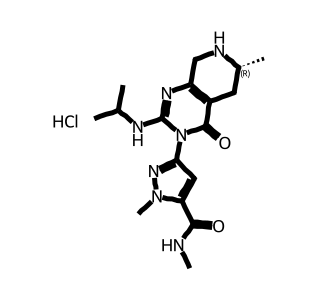 CNC(=O)c1cc(-n2c(NC(C)C)nc3c(c2=O)C[C@@H](C)NC3)nn1C.Cl